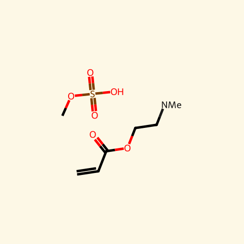 C=CC(=O)OCCNC.COS(=O)(=O)O